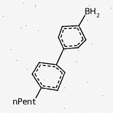 Bc1ccc(-c2ccc(CCCCC)cc2)cc1